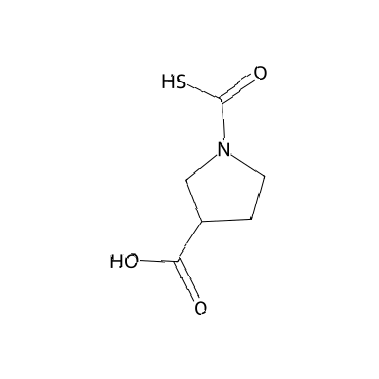 O=C(O)C1CCN(C(=O)S)C1